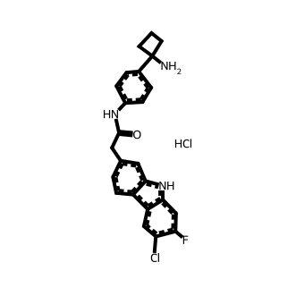 Cl.NC1(c2ccc(NC(=O)Cc3ccc4c(c3)[nH]c3cc(F)c(Cl)cc34)cc2)CCC1